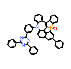 O=P1(C2=CC(c3ccccc3)=CCC2)C2=C(c3ccccc3N(c3cccc(-c4nc(-c5ccccc5)nc(-c5ccccc5)n4)c3)c3ccccc32)c2ccccc21